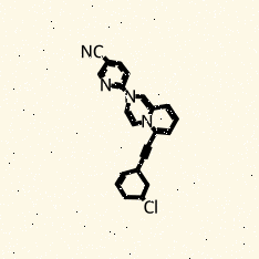 N#Cc1ccc(N2C=CN3C(C#CC4C=CCC(Cl)C4)=CC=CC3=C2)nc1